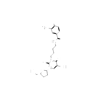 Cc1cn([C@H]2CC[C@@H](CO)O2)c(=O)n(CCCCNC(=O)c2ccc(F)c(C#N)c2)c1=O